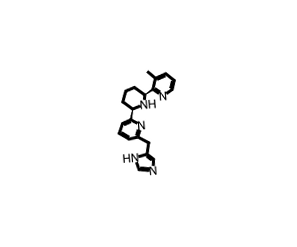 Cc1cccnc1[C@@H]1CCC[C@H](c2cccc(Cc3cnc[nH]3)n2)N1